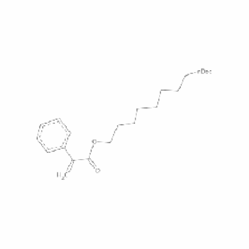 C=C(C(=O)OCCCCCCCCCCCCCCCCCC)c1ccccc1